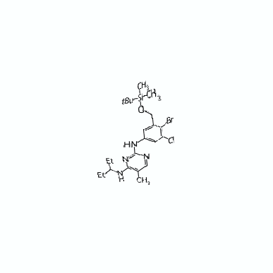 CCC(CC)Nc1nc(Nc2cc(Cl)c(Br)c(CO[Si](C)(C)C(C)(C)C)c2)ncc1C